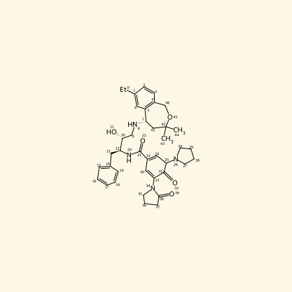 CCc1ccc2c(c1)[C@@H](NC[C@@H](O)[C@H](Cc1ccccc1)NC(=O)C1=CC(N3CCCC3)C(=O)C(N3CCCC3=O)=C1)CC(C)(C)OC2